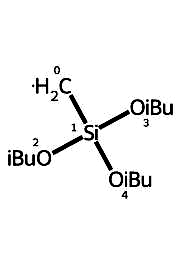 [CH2][Si](OCC(C)C)(OCC(C)C)OCC(C)C